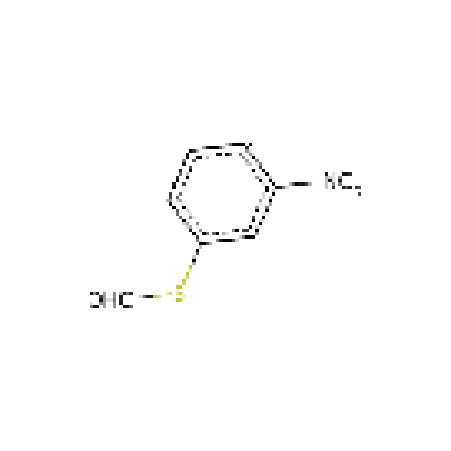 O=CSc1cc[c]c([N+](=O)[O-])c1